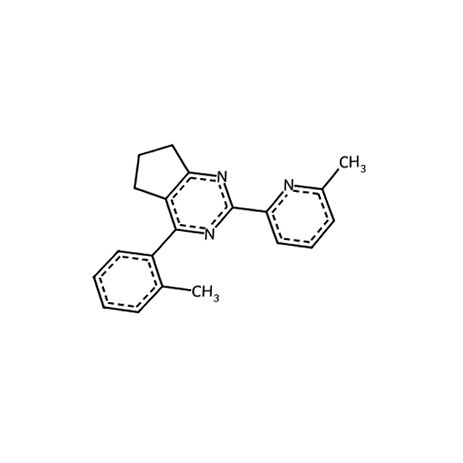 Cc1cccc(-c2nc3c(c(-c4ccccc4C)n2)CCC3)n1